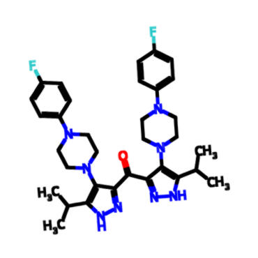 CC(C)c1[nH]nc(C(=O)c2n[nH]c(C(C)C)c2N2CCN(c3ccc(F)cc3)CC2)c1N1CCN(c2ccc(F)cc2)CC1